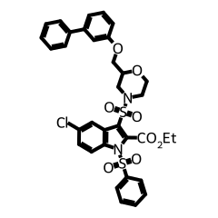 CCOC(=O)c1c(S(=O)(=O)N2CCOC(COc3cccc(-c4ccccc4)c3)C2)c2cc(Cl)ccc2n1S(=O)(=O)c1ccccc1